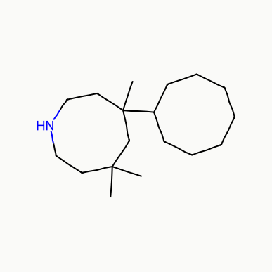 CC1(C)CCNCCC(C)(C2CCCCCCC2)C1